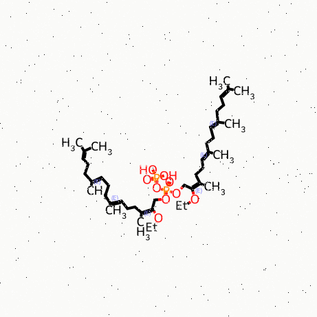 CCO/C(COP(=O)(OC/C(OCC)=C(/C)CC/C=C(\C)CC/C=C(\C)CCC=C(C)C)OP(=O)(O)O)=C(\C)CC/C=C(\C)CC/C=C(\C)CCC=C(C)C